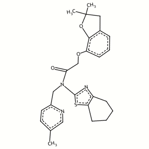 Cc1ccc(CN(C(=O)COc2cccc3c2OC(C)(C)C3)c2nc3c(s2)CCCC3)nc1